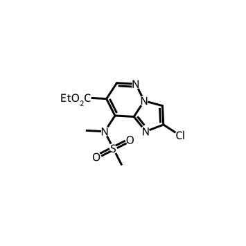 CCOC(=O)c1cnn2cc(Cl)nc2c1N(C)S(C)(=O)=O